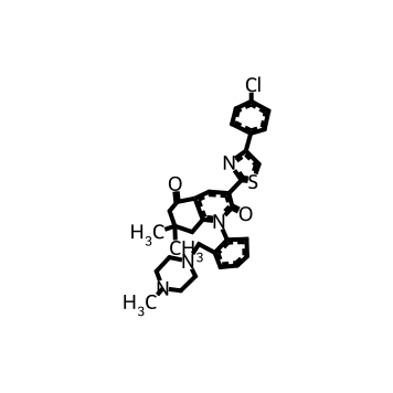 CN1CCN(Cc2ccccc2-n2c3c(cc(-c4nc(-c5ccc(Cl)cc5)cs4)c2=O)C(=O)CC(C)(C)C3)CC1